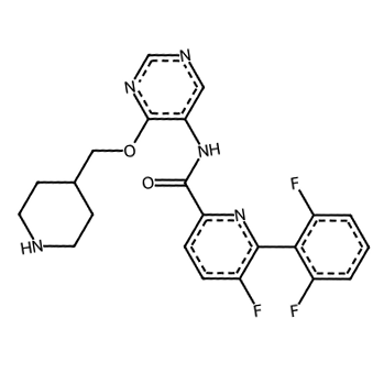 O=C(Nc1cncnc1OCC1CCNCC1)c1ccc(F)c(-c2c(F)cccc2F)n1